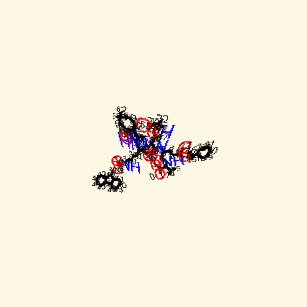 COC(=O)C(NC(=O)C(CCC(=O)OC(C)(C)c1ccccc1)NC(=O)C(NC(=O)C(CCCCNC(=O)OCC1c2ccccc2-c2ccccc21)NC(C)=C1C(=O)CC(C)(C)CC1=O)[C@@H](C)OC(C)(C)C)C(C)C